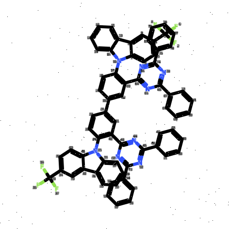 FC(F)(F)c1ccc2c(c1)c1ccccc1n2-c1ccc(-c2ccc(-n3c4ccccc4c4cc(C(F)(F)F)ccc43)c(-c3nc(-c4ccccc4)nc(-c4ccccc4)n3)c2)cc1-c1nc(-c2ccccc2)nc(-c2ccccc2)n1